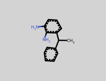 CC(c1ccccc1)c1cccc(N)c1N